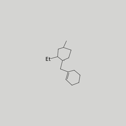 CCC1CC(C)CC[C]1CC1=CCCCC1